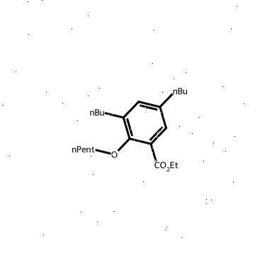 CCCCCOc1c(CCCC)cc(CCCC)cc1C(=O)OCC